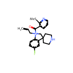 C=CC[N+]1(C(=O)c2cccnc2SC)CC2(CCNCC2)c2cc(F)ccc21